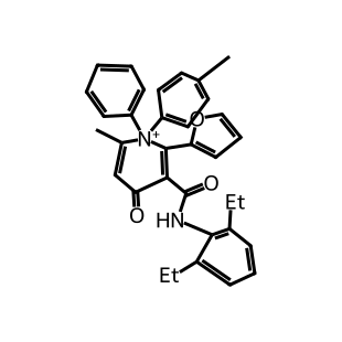 CCc1cccc(CC)c1NC(=O)C1=C(c2ccco2)[N+](c2ccccc2)(c2ccc(C)cc2)C(C)=CC1=O